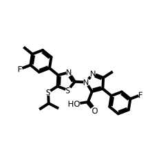 Cc1ccc(-c2nc(-n3nc(C)c(-c4cccc(F)c4)c3C(=O)O)sc2SC(C)C)cc1F